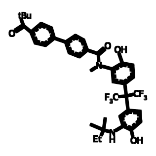 CCC(C)(C)Nc1cc(C(c2ccc(O)c(N(C)C(=O)c3ccc(-c4ccc(C(=O)C(C)(C)C)cc4)cc3)c2)(C(F)(F)F)C(F)(F)F)ccc1O